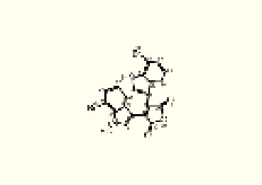 CCn1cc(C2=C(c3c[nH]c4c(Br)cccc34)C(=O)OC2=O)c2cccc(Br)c21